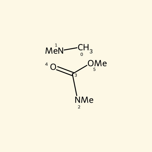 CNC.CNC(=O)OC